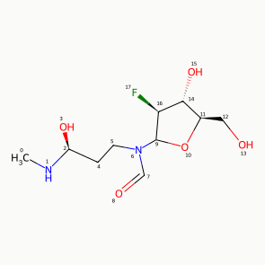 CN[C@@H](O)CCN(C=O)C1O[C@H](CO)[C@@H](O)[C@@H]1F